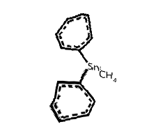 C.c1cc[c]([Sn][c]2ccccc2)cc1